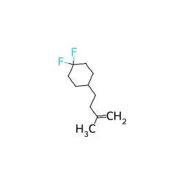 C=C(C)CCC1CCC(F)(F)CC1